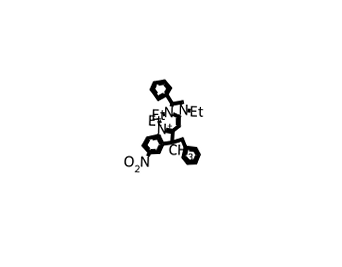 CCN1CC(c2ccccc2)N(CC)/C1=C\C1=[N+](CC)c2ccc([N+](=O)[O-])cc2C1(C)Cc1ccccc1